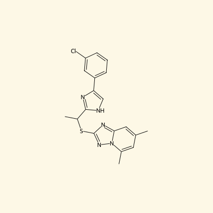 Cc1cc(C)n2nc(SC(C)c3nc(-c4cccc(Cl)c4)c[nH]3)nc2c1